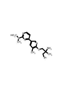 Cc1cc(-c2ccnc(N(C)C(=O)O)n2)cnc1OCC(C)(N)CC(C)C